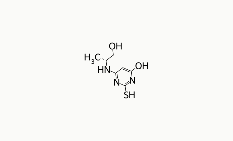 C[C@H](CO)Nc1cc(O)nc(S)n1